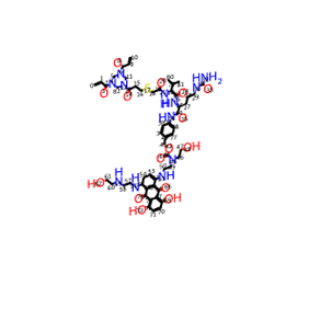 C=CC(=O)N1CN(C(=O)C=C)CN(C(=O)CCSCC(=O)N[C@H](C(=O)N[C@@H](CCCNC(N)=O)C(=O)Nc2ccc(COC(=O)N(CCO)CCNC3=CCC(NCCNCCO)C4=C3C(=O)c3c(O)ccc(O)c3C4=O)cc2)C(C)C)C1